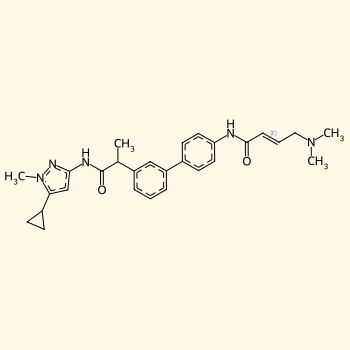 CC(C(=O)Nc1cc(C2CC2)n(C)n1)c1cccc(-c2ccc(NC(=O)/C=C/CN(C)C)cc2)c1